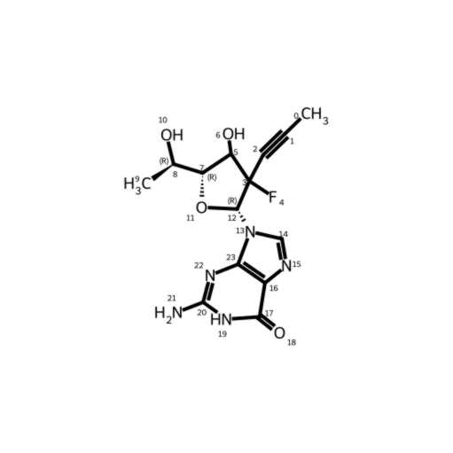 CC#CC1(F)C(O)[C@@H]([C@@H](C)O)O[C@H]1n1cnc2c(=O)[nH]c(N)nc21